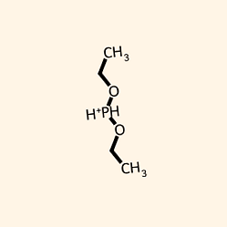 CCOPOCC.[H+]